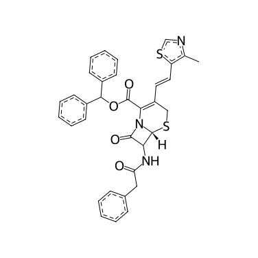 Cc1ncsc1/C=C/C1=C(C(=O)OC(c2ccccc2)c2ccccc2)N2C(=O)C(NC(=O)Cc3ccccc3)[C@H]2SC1